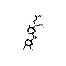 CNCCN(C)c1nc(Nc2ccc(Cl)c(Cl)c2)ncc1C(F)(F)F